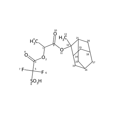 CC(OC(=O)C(F)(F)S(=O)(=O)O)C(=O)OC1(C)C2CC3CC(C2)CC1C3